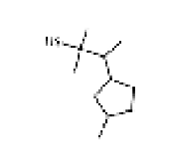 CC1CCC(C(C)C(C)(C)S)C1